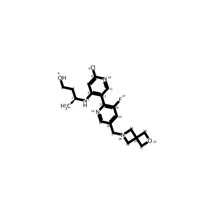 C[C@@H](CCO)Nc1cc(Cl)ncc1-c1ncc(CN2CC3(COC3)C2)cc1F